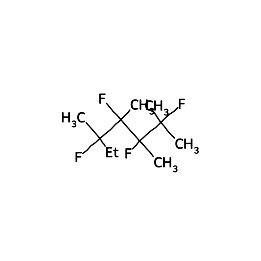 CCC(C)(F)C(C)(F)C(C)(F)C(C)(C)F